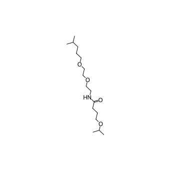 CC(C)CCCOCCOCCNC(=O)CCCOC(C)C